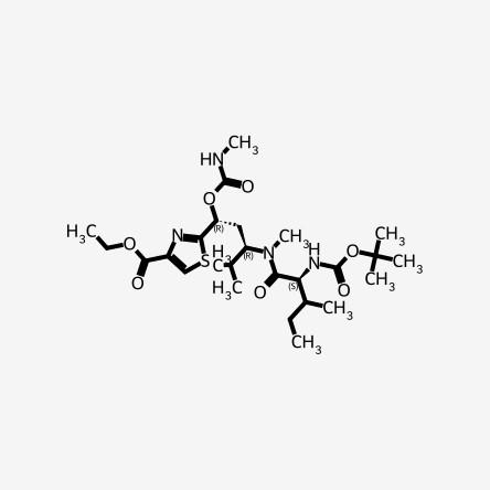 CCOC(=O)c1csc([C@@H](C[C@H](C(C)C)N(C)C(=O)[C@@H](NC(=O)OC(C)(C)C)C(C)CC)OC(=O)NC)n1